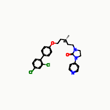 C[C@@H](CCOc1ccc(-c2ccc(Cl)cc2Cl)cc1)CCN1CCN(c2ccncc2)C1=O